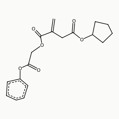 C=C(CC(=O)OC1CCCC1)C(=O)OCC(=O)Oc1ccccc1